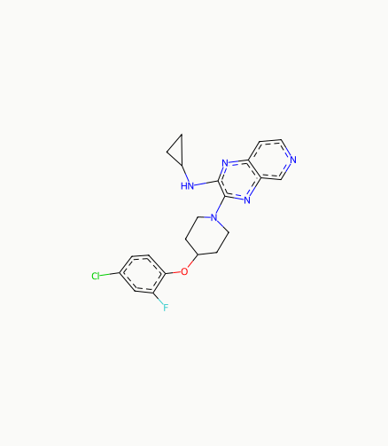 Fc1cc(Cl)ccc1OC1CCN(c2nc3cnccc3nc2NC2CC2)CC1